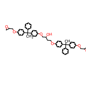 CC(c1ccccc1)(c1ccc(OCCC(O)COc2ccc(C(C)(c3ccccc3)c3ccc(OCC4CO4)cc3)cc2)cc1)c1ccc(OCC2CO2)cc1